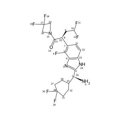 N[C@H](c1nc2c(F)c([C@H](CC(F)F)C(=O)N3CC(F)(F)C3)ccc2[nH]1)C1CCC(F)(F)CC1